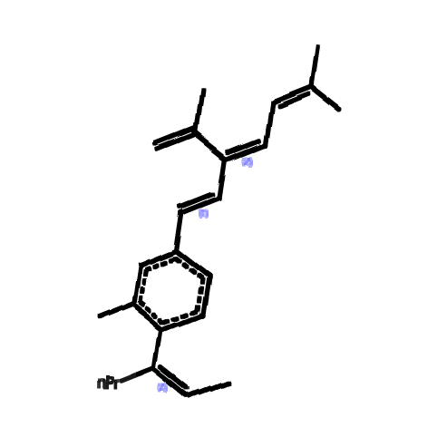 C=C(C)C(=C\C=C(C)C)/C=C/c1ccc(/C(=C\C)CCC)c(C)c1